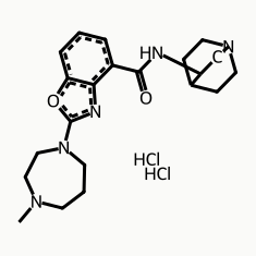 CN1CCCN(c2nc3c(C(=O)NC4CN5CCC4CC5)cccc3o2)CC1.Cl.Cl